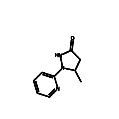 CC1CC(=O)NN1c1ccccn1